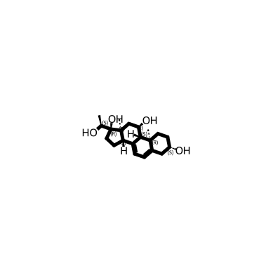 C[C@H](O)[C@@]1(O)CC[C@H]2C3=CC=C4C[C@@H](O)CC[C@]4(C)[C@H]3[C@H](O)C[C@@]21C